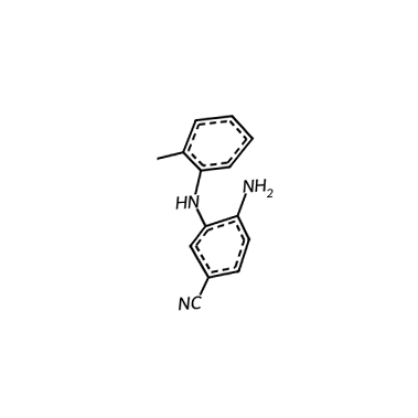 Cc1ccccc1Nc1cc(C#N)ccc1N